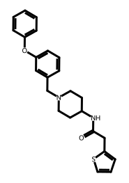 O=C(Cc1cccs1)NC1CCN(Cc2cccc(Oc3ccccc3)c2)CC1